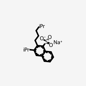 CC(C)CCCc1c(C(C)C)cc2ccccc2c1S(=O)(=O)[O-].[Na+]